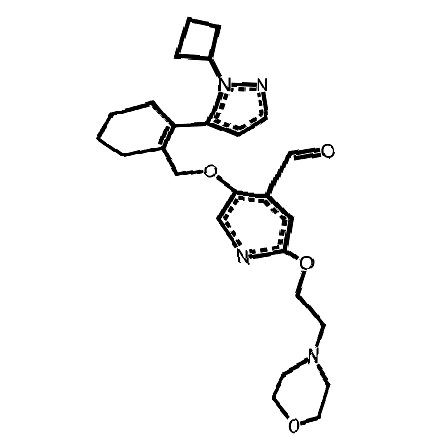 O=Cc1cc(OCCN2CCOCC2)ncc1OCC1=C(c2ccnn2C2CCC2)CCCC1